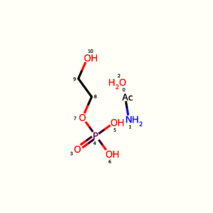 CC(N)=O.O.O=P(O)(O)OCCO